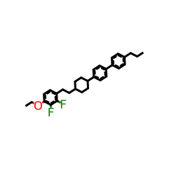 CCCc1ccc(-c2ccc(C3CCC(CCc4ccc(OCC)c(F)c4F)CC3)cc2)cc1